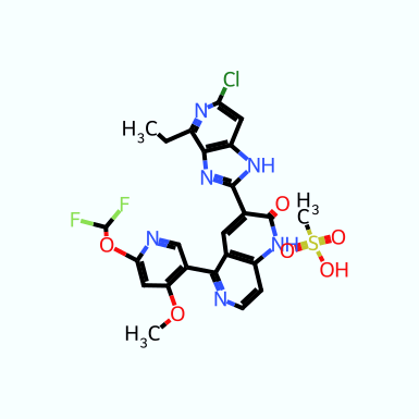 CCc1nc(Cl)cc2[nH]c(-c3cc4c(-c5cnc(OC(F)F)cc5OC)nccc4[nH]c3=O)nc12.CS(=O)(=O)O